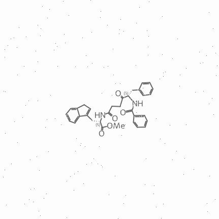 COC(=O)[C@H](CC1=CCc2ccccc21)NC(=O)CCC(=O)[C@H](Cc1ccccc1)NC(=O)c1ccccc1